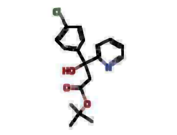 CC(C)(C)OC(=O)CC(O)(c1ccc(Cl)cc1)c1ccccn1